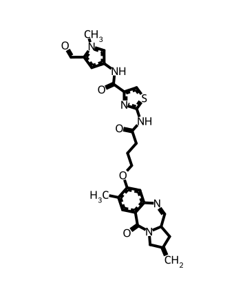 C=C1CC2C=Nc3cc(OCCCC(=O)Nc4nc(C(=O)Nc5cc(C=O)n(C)c5)cs4)c(C)cc3C(=O)N2C1